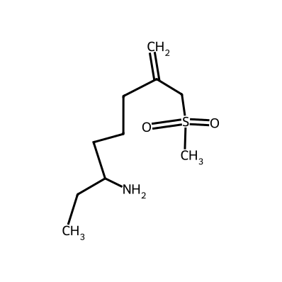 C=C(CCCC(N)CC)CS(C)(=O)=O